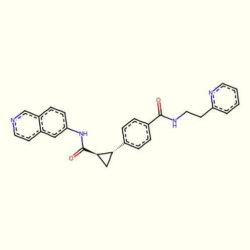 O=C(NCCc1ccccn1)c1ccc([C@@H]2C[C@H]2C(=O)Nc2ccc3cnccc3c2)cc1